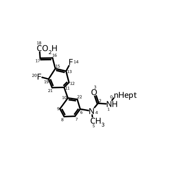 CCCCCCCNC(=O)N(C)c1cccc(-c2cc(F)c(C=CC(=O)O)c(F)c2)c1